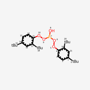 CC(C)(C)c1ccc(OOP(O)OOc2ccc(C(C)(C)C)cc2C(C)(C)C)c(C(C)(C)C)c1